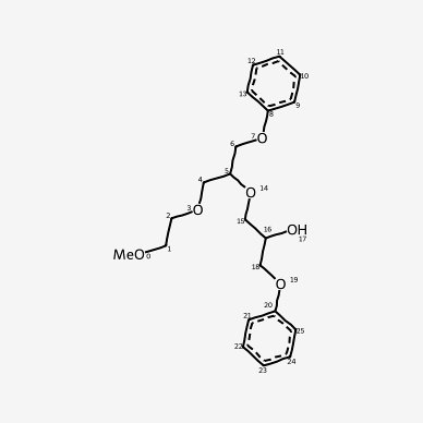 COCCOCC(COc1ccccc1)OCC(O)COc1ccccc1